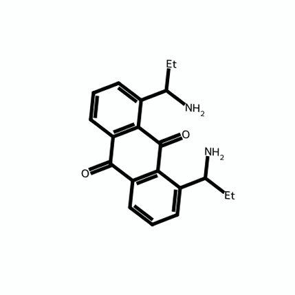 CCC(N)c1cccc2c1C(=O)c1c(cccc1C(N)CC)C2=O